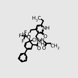 C=CC(=O)NN(Cc1c(CC)cc(CC)[nH]c1=O)C(=O)C1C=C(c2ccccc2)C=CC1(C)OC(F)(F)F